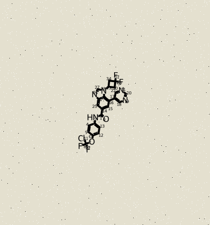 O=C(Nc1ccc(OC(F)(F)Cl)cc1)c1cc(-c2cncnc2)c2c(c1)ncn2C1CC(F)(F)C1